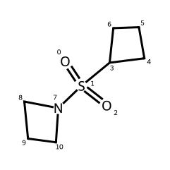 O=S(=O)(C1CCC1)N1CCC1